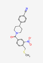 CSCc1ccc(C(=O)N2CCC(c3ccc(C#N)cc3)CC2)cc1[N+](=O)[O-]